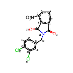 O=C1c2cccc([N+](=O)[O-])c2C(=O)N1Cc1ccc(Cl)c(Cl)c1